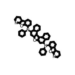 c1ccc(N(c2cc3oc4cc(N(c5ccccc5)c5cccc6c5oc5ncccc56)c5ccccc5c4c3c3ccccc23)c2cccc3c2oc2ncccc23)cc1